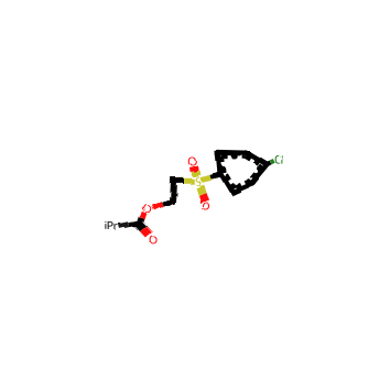 CC(C)C(=O)OCCS(=O)(=O)c1ccc(Cl)cc1